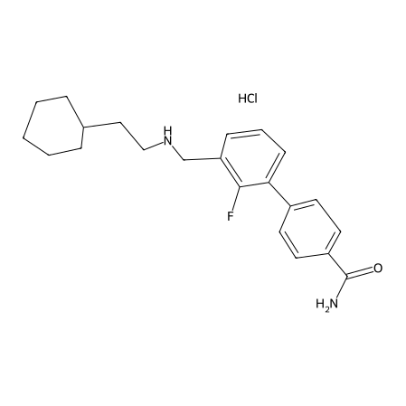 Cl.NC(=O)c1ccc(-c2cccc(CNCCC3CCCCC3)c2F)cc1